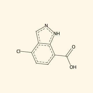 O=C(O)c1ccc(Cl)c2cn[nH]c12